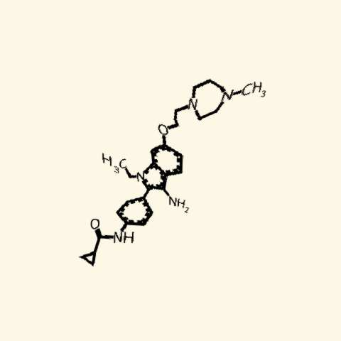 CCn1c(-c2ccc(NC(=O)C3CC3)cc2)c(N)c2ccc(OCCN3CCCN(C)CC3)cc21